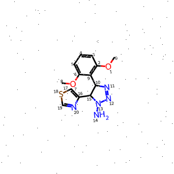 COc1cccc(OC)c1C1N=NN(N)C1c1cscn1